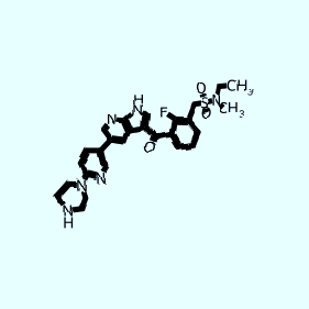 CCN(C)S(=O)(=O)Cc1cccc(C(=O)c2c[nH]c3ncc(-c4ccc(N5CCNCC5)nc4)cc23)c1F